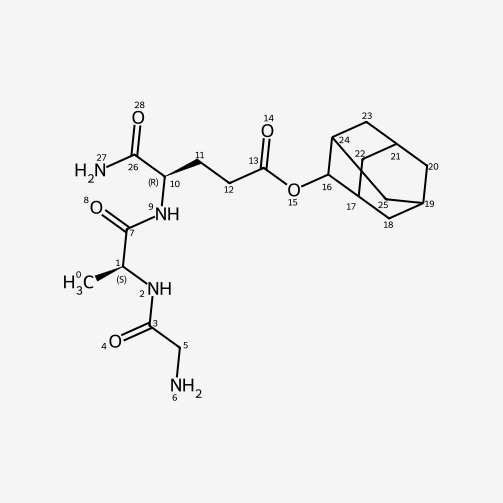 C[C@H](NC(=O)CN)C(=O)N[C@H](CCC(=O)OC1C2CC3CC(C2)CC1C3)C(N)=O